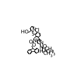 CC(C)(C)OC(=O)Nc1ccc(-c2ccc(Cl)c(Sc3ncccc3CO)c2CNC(=O)OCC2c3ccccc3-c3ccccc32)cn1